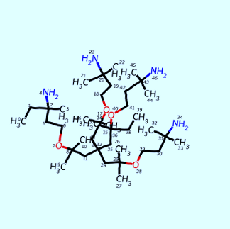 CCC(C)(N)CCOC(C)(C)CC(CC(C)(C)OCCC(C)(C)N)(CC(C)(C)OCCC(C)(C)N)CC(C)(CC)OCCC(C)(C)N